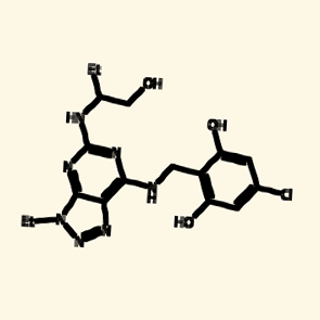 CCC(CO)Nc1nc(NCc2c(O)cc(Cl)cc2O)c2nnn(CC)c2n1